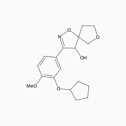 COc1ccc(C2=NOC3(CCOC3)C2O)cc1OC1CCCC1